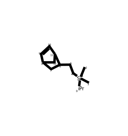 CC(C)[Si](C)(C)CCC1CC2C=CC1C2